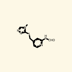 Cn1cnnc1SCc1ccnc(NC=O)c1